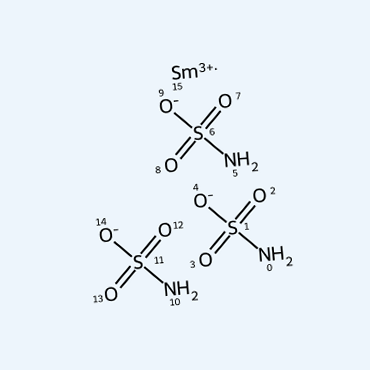 NS(=O)(=O)[O-].NS(=O)(=O)[O-].NS(=O)(=O)[O-].[Sm+3]